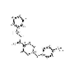 Nc1ccc(CN2CCN(C(=O)CNc3ccccc3)CC2)cc1